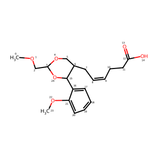 COCC1OCC(C/C=C\CCC(=O)O)C(c2ccccc2OC)O1